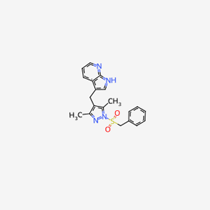 Cc1nn(S(=O)(=O)Cc2ccccc2)c(C)c1Cc1c[nH]c2ncccc12